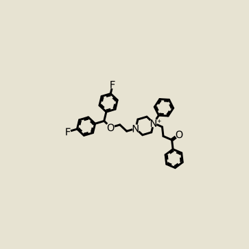 O=C(CC[N+]1(c2ccccc2)CCN(CCOC(c2ccc(F)cc2)c2ccc(F)cc2)CC1)c1ccccc1